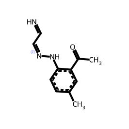 CC(=O)c1cc(C)ccc1N/N=C\C=N